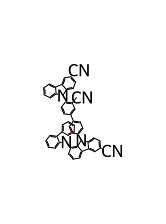 N#Cc1ccc2c(c1)c1ccccc1n2-c1ccc(-c2ccc(-n3c4ccc(C#N)cc4c4cccc(-n5c6ccccc6c6ccccc65)c43)cc2)cc1C#N